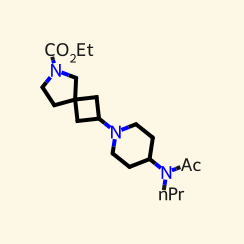 CCCN(C(C)=O)C1CCN(C2CC3(CCN(C(=O)OCC)C3)C2)CC1